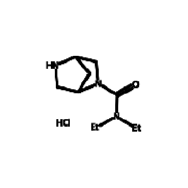 CCN(CC)C(=O)N1CC2CC1CN2.Cl